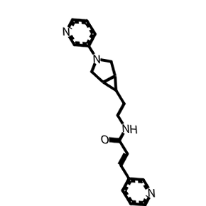 O=C(/C=C/c1cccnc1)NCCC1C2CN(c3cccnc3)CC12